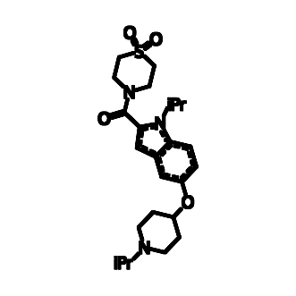 CC(C)N1CCC(Oc2ccc3c(c2)cc(C(=O)N2CCS(=O)(=O)CC2)n3C(C)C)CC1